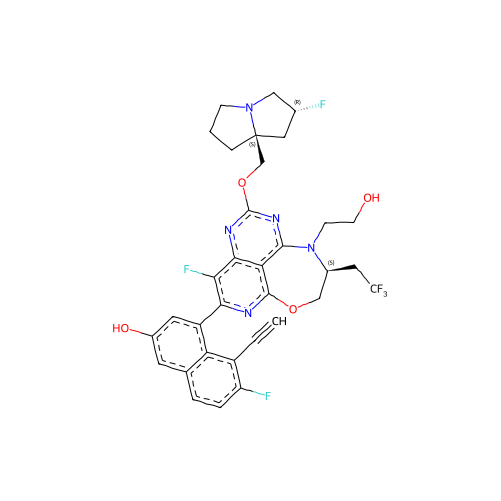 C#Cc1c(F)ccc2cc(O)cc(-c3nc4c5c(nc(OC[C@@]67CCCN6C[C@H](F)C7)nc5c3F)N(CCO)[C@@H](CC(F)(F)F)CO4)c12